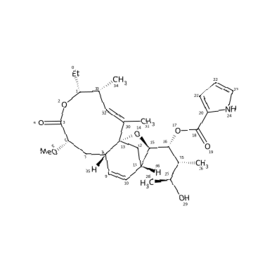 CC[C@H]1OC(=O)[C@@H](OC)C[C@H]2C=C[C@@H]3C[C@]2(O[C@H]3[C@H](OC(=O)c2ccc[nH]2)[C@H](C)[C@H](C)O)/C(C)=C/[C@H]1C